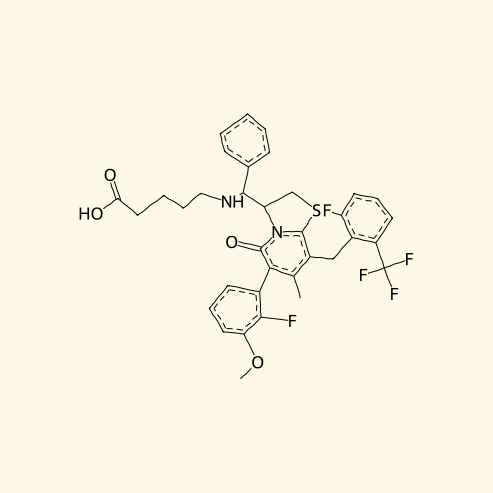 COc1cccc(-c2c(C)c(Cc3c(F)cccc3C(F)(F)F)c3n(c2=O)C(C(NCCCCC(=O)O)c2ccccc2)CS3)c1F